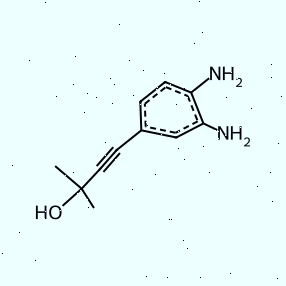 CC(C)(O)C#Cc1ccc(N)c(N)c1